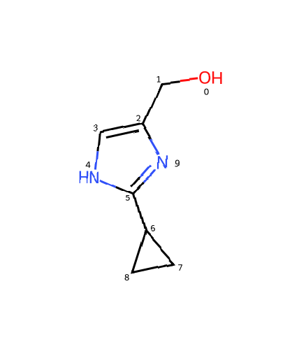 OCc1c[nH]c(C2CC2)n1